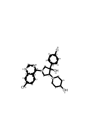 OC1CCN(C2CN(c3ncnc4cc(Cl)ccc34)CC2(O)c2ccc(Cl)cc2)CC1